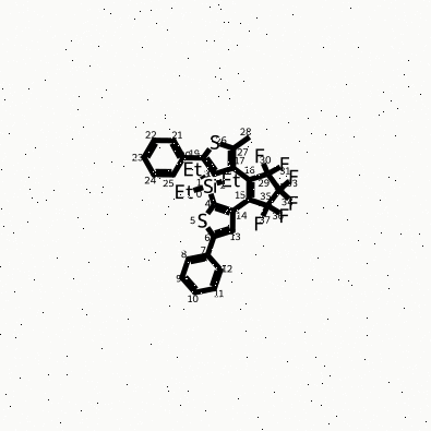 CC[Si](CC)(CC)c1sc(-c2ccccc2)cc1C1=C(c2cc(-c3ccccc3)sc2C)C(F)(F)C(F)(F)C1(F)F